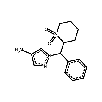 Nc1cnn(C(c2ccccc2)C2CCCCS2(=O)=O)c1